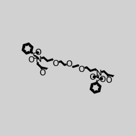 O=S(=O)(c1ccccc1)N(CCCOCCOCCOCCCN(CC1CO1)S(=O)(=O)c1ccccc1)CC1CO1